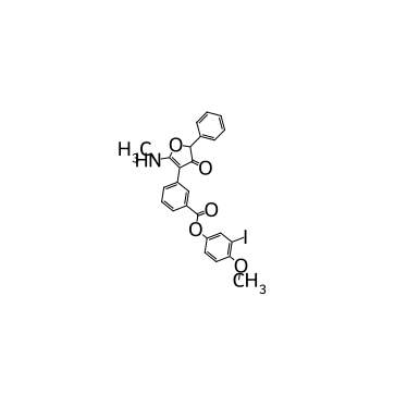 CNC1=C(c2cccc(C(=O)Oc3ccc(OC)c(I)c3)c2)C(=O)C(c2ccccc2)O1